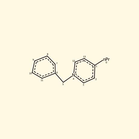 CCCc1cc[n+](Cc2ccccc2)cc1